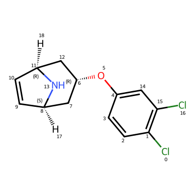 Clc1ccc(O[C@@H]2C[C@H]3C=C[C@@H](C2)N3)cc1Cl